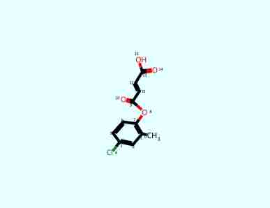 Cc1cc(Cl)ccc1OC(=O)C=CC(=O)O